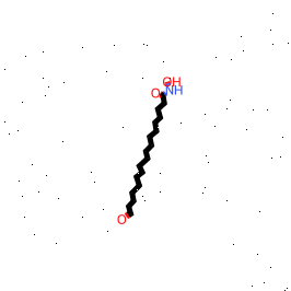 O=CCCCCCCCCCCCCCCCCC(=O)NO